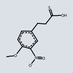 COc1ccc(CCC(O)=S)cc1[N+](=O)[O-]